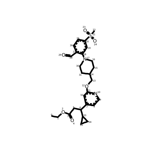 CCOC(=O)CC(c1ccnc(OCC2CCN(c3cc(S(C)(=O)=O)ccc3C=O)CC2)c1)C1CC1